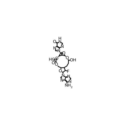 Nc1ncnc2c1ncn2C1OC2COP(=O)(O)OC3C(F)C(OC(O)CCC2C1F)OC3n1cnc2c(=O)[nH]cnc21